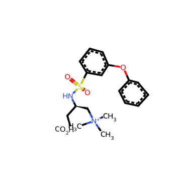 C[N+](C)(C)C[C@@H](CC(=O)O)NS(=O)(=O)c1cccc(Oc2ccccc2)c1